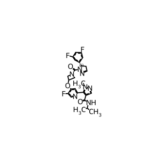 CC(C)NC(=O)c1cnn(C)c1-c1cc(OC2CN(C(=O)N3N=CC[C@H]3c3cc(F)cc(F)c3)C2)c(F)cn1